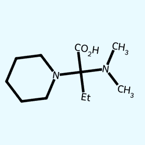 CCC(C(=O)O)(N(C)C)N1CCCCC1